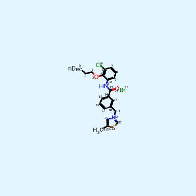 CCCCCCCCCCCCOc1c(Cl)cccc1NC(=O)c1cccc(C[n+]2csc(C)c2)c1.[Br-]